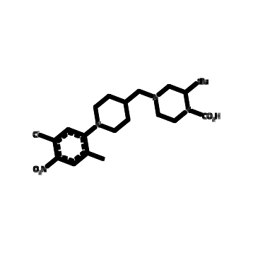 Cc1cc([N+](=O)[O-])c(Cl)cc1N1CCC(CN2CCN(C(=O)O)C(C(C)(C)C)C2)CC1